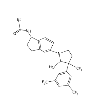 CCC(=O)NC1CCc2cc(N3CCC(c4cc(C(F)(F)F)cc(C(F)(F)F)c4)(C(F)(F)F)C3O)ccc21